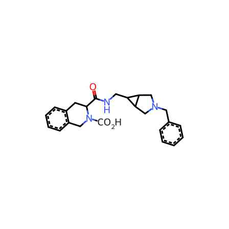 O=C(NCC1C2CN(Cc3ccccc3)CC12)C1Cc2ccccc2CN1C(=O)O